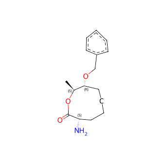 C[C@@H]1OC(=O)[C@@H](N)CCCC[C@H]1OCc1ccccc1